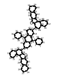 c1ccc(-c2c3ccc(-c4cc5ccccc5c5c4oc4cc6ccccc6cc45)cc3c(-c3ccccc3)c3ccc(-c4cc5ccccc5c5c4oc4cc6ccccc6cc45)cc23)cc1